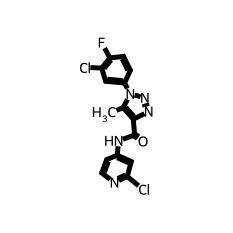 Cc1c(C(=O)Nc2ccnc(Cl)c2)nnn1-c1ccc(F)c(Cl)c1